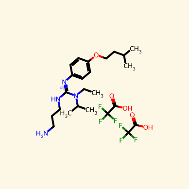 CCN(/C(=N\c1ccc(OCCC(C)C)cc1)NCCCN)C(C)C.O=C(O)C(F)(F)F.O=C(O)C(F)(F)F